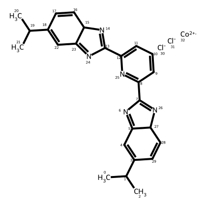 CC(C)C1=CC2=NC(c3cccc(C4=NC5C=CC(C(C)C)=CC5=N4)n3)=NC2C=C1.[Cl-].[Cl-].[Co+2]